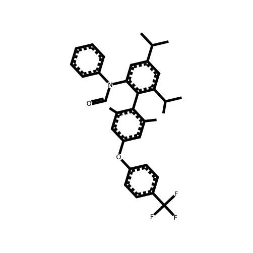 Cc1cc(Oc2ccc(C(F)(F)F)cc2)cc(C)c1-c1c(C(C)C)[c]c(C(C)C)cc1N(C=O)c1ccccc1